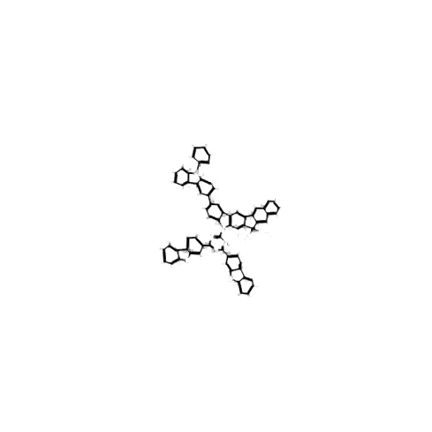 CC1(C)c2cc3ccccc3cc2-c2cc3c4cc(-c5ccc6c(c5)c5ccccc5n6-c5ccccc5)ccc4n(-c4nc(-c5ccc6c(c5)oc5ccccc56)nc(-c5ccc6c(c5)oc5ccccc56)n4)c3cc21